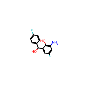 Nc1cc(F)cc(C(O)c2ccc(F)cc2)c1O